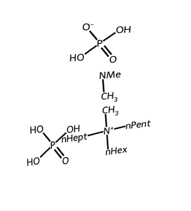 CCCCCCC[N+](C)(CCCCC)CCCCCC.CNC.O=P(O)(O)O.O=P([O-])(O)O